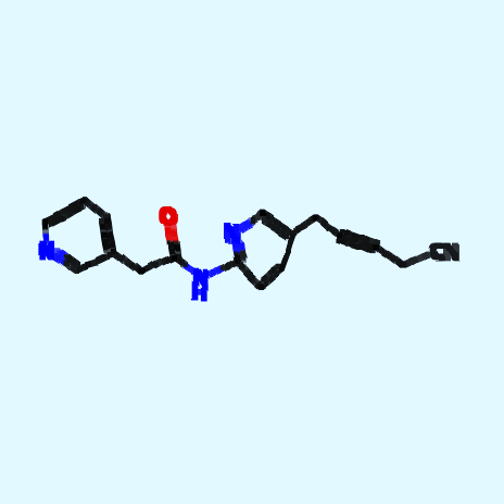 N#CCC#CCc1ccc(NC(=O)Cc2cccnc2)nc1